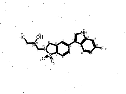 O=S1(=O)c2ccc(-c3c[nH]c4cc(F)ccc34)cc2CN1C[C@H](O)CO